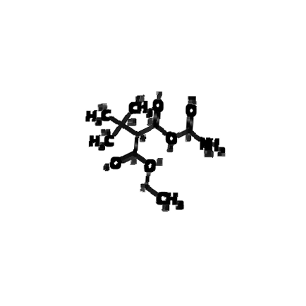 CCOC(=O)C(C(=O)OC(N)=O)C(C)(C)C